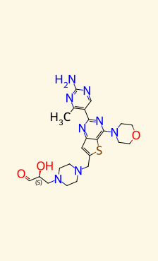 Cc1nc(N)ncc1-c1nc(N2CCOCC2)c2sc(CN3CCN(C[C@H](O)C=O)CC3)cc2n1